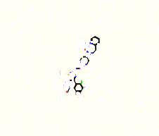 COC(=O)CN(C)C(=O)/C(=C\N(C=O)CC(=O)N1CCC(N2CCc3ccccc3NC2=O)CC1)c1cccc(F)c1Cl